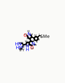 CSCc1cccc(-c2cn(C)c(=O)cc2-c2cn(C)c(=O)c3[nH]c(/C(C=N)=C/NC(C)C)cc23)c1